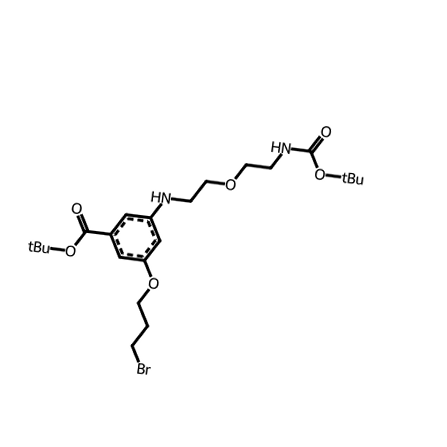 CC(C)(C)OC(=O)NCCOCCNc1cc(OCCCBr)cc(C(=O)OC(C)(C)C)c1